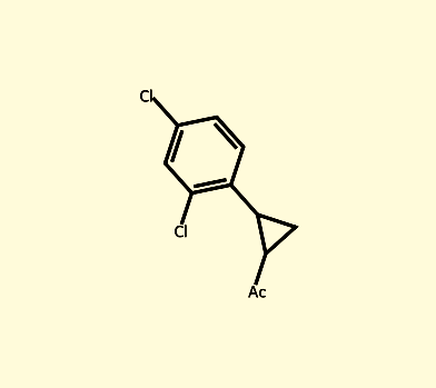 CC(=O)C1CC1c1ccc(Cl)cc1Cl